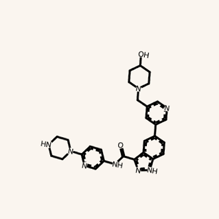 O=C(Nc1ccc(N2CCNCC2)nc1)c1n[nH]c2ccc(-c3cncc(CN4CCC(O)CC4)c3)cc12